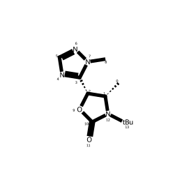 C[C@H]1[C@@H](c2ncnn2C)OC(=O)N1C(C)(C)C